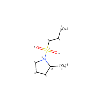 CCCCCCCCCCS(=O)(=O)N1CCCC1C(=O)O